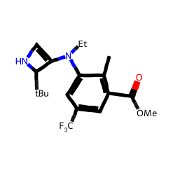 CCN(C1=CNC1C(C)(C)C)c1cc(C(F)(F)F)cc(C(=O)OC)c1C